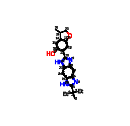 CCC(C)(CC)c1nc2cc3nc(-c4cc5c(cc4O)C(C)CO5)[nH]c3cc2[nH]1